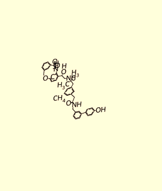 C.CC(C)(Cc1cccc(CC(=O)NCc2cccc(-c3ccc(O)cc3)c2)c1)NCC(O)c1ccc2cc1NS(=O)(=O)c1cccc(c1)CO2